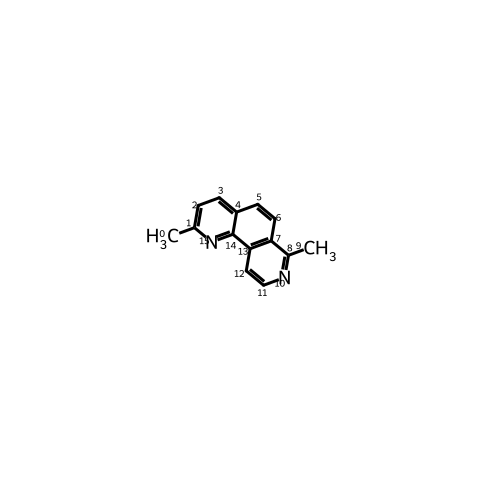 Cc1ccc2ccc3c(C)nccc3c2n1